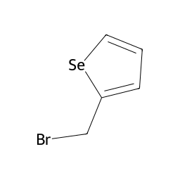 BrCc1ccc[se]1